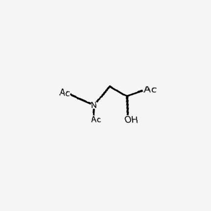 CC(=O)C(O)CN(C(C)=O)C(C)=O